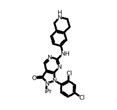 CC(C)n1c(=O)c2cnc(Nc3ccc4c(c3)CCNC4)nc2n1-c1ccc(Cl)cc1Cl